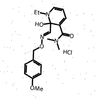 CCN1C=CC=C(C(=O)N(C)C)C1(O)C=NOCc1ccc(OC)cc1.Cl